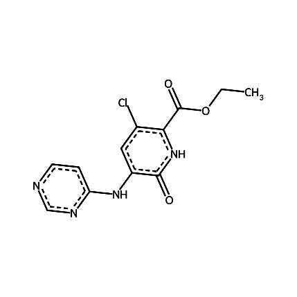 CCOC(=O)c1[nH]c(=O)c(Nc2ccncn2)cc1Cl